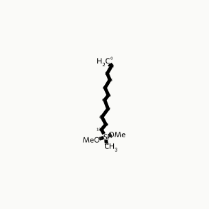 C=CCCCCCCCCC[Si](C)(OC)OC